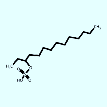 CCCCCCCCCCCC(CC)OS(=O)(=O)O